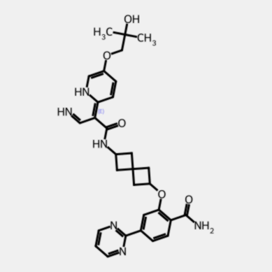 CC(C)(O)COC1=CN/C(=C(\C=N)C(=O)NC2CC3(C2)CC(Oc2cc(-c4ncccn4)ccc2C(N)=O)C3)C=C1